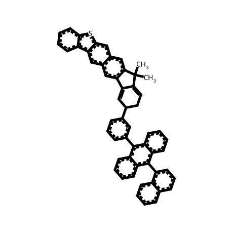 CC1(C)C2=CCC(c3cccc(-c4c5ccccc5c(-c5cccc6ccccc56)c5ccccc45)c3)C=C2c2cc3cc4c(cc3cc21)sc1ccccc14